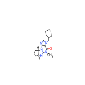 CN1C(=O)c2c(ncn2CC2CCCCC2)N2C1=N[C@H]1CCC[C@H]12